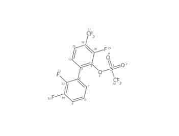 O=S(=O)(Oc1c(-c2cccc(F)c2F)ccc(C(F)(F)F)c1F)C(F)(F)F